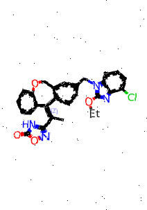 CCOc1nc2c(Cl)cccc2n1Cc1ccc2c(c1)COc1ccccc1/C2=C(/C)c1noc(=O)[nH]1